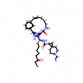 CCC(=O)CCCCC[C@H](NC(=O)[C@H]1CC12CCN(CC)CC2)c1[nH]c2nc1C(=O)NCCC/C=C\c1cccc-2c1